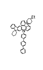 CCC1CC2CCCC(C1)C21c2ccccc2-c2c(N(c3ccc(-c4ccc(-c5ccccc5)cc4)cc3)c3ccc4c(c3)C3(CCCCC3)c3ccccc3-4)cccc21